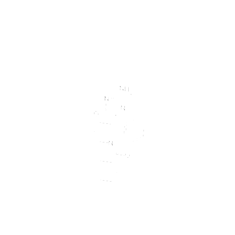 CN1C(=O)C(c2ccccc2)(C2CCCN(C(=O)c3ccccc3)C2)N=C1N